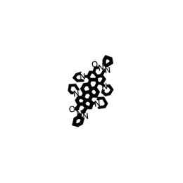 O=C1C2C=C(N3CCCCC3)C3=C4C2=C(C=C(N2CCCCC2)C4c2ccc4c5c(N6CCCCC6)cc6c7c(cc(N8CCCCC8)c(c8ccc3c2c84)c57)c(=O)n2c3ccccc3nc62)c2nc3ccccc3n21